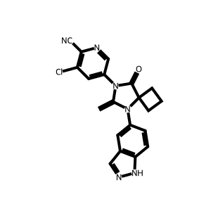 C=C1N(c2cnc(C#N)c(Cl)c2)C(=O)C2(CCC2)N1c1ccc2[nH]ncc2c1